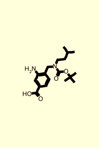 CC(C)CCN(Cc1ccc(C(=O)O)cc1N)C(=O)OC(C)(C)C